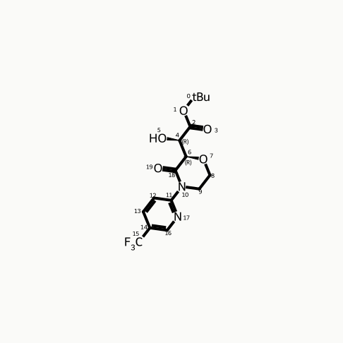 CC(C)(C)OC(=O)[C@H](O)[C@H]1OCCN(c2ccc(C(F)(F)F)cn2)C1=O